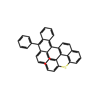 c1ccc(-c2c3ccccc3c(-c3ccc4cccc5c4c3-c3ccccc3S5)c3ccccc23)cc1